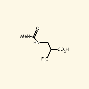 CNC(=O)NCC(C(=O)O)C(F)(F)F